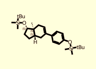 CC(C)(C)[Si](C)(C)Oc1ccc(C2=CC[C@@]3(C)[C@@H](CC[C@@H]3O[Si](C)(C)C(C)(C)C)C2)cc1